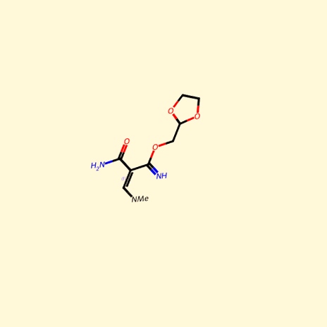 CN/C=C(\C(=N)OCC1OCCO1)C(N)=O